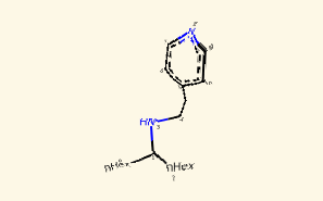 CCCCCCC(CCCCCC)NCc1ccncc1